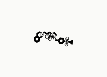 O=C1N(Cc2ccc(S(=O)(=O)C3CC3)cc2)CCN1C[C@H](O)CN1CCc2ccccc2C1